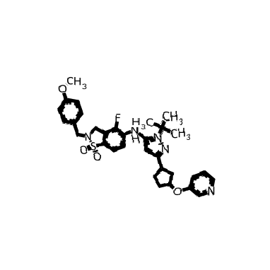 COc1ccc(CN2Cc3c(ccc(Nc4cc(C5CCC(Oc6cccnc6)C5)nn4C(C)(C)C)c3F)S2(=O)=O)cc1